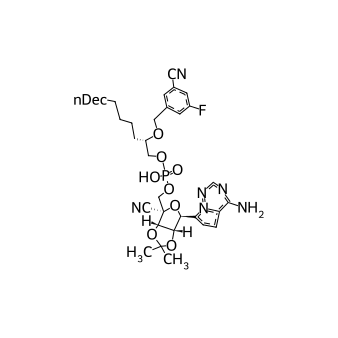 CCCCCCCCCCCCCC[C@@H](COP(=O)(O)OC[C@@]1(C#N)O[C@@H](c2ccc3c(N)ncnn23)[C@@H]2OC(C)(C)O[C@@H]21)OCc1cc(F)cc(C#N)c1